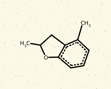 Cc1cccc2c1CC(C)O2